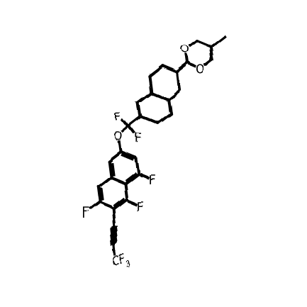 CC1COC(C2CCC3CC(C(F)(F)Oc4cc(F)c5c(F)c(C#CC(F)(F)F)c(F)cc5c4)CCC3C2)OC1